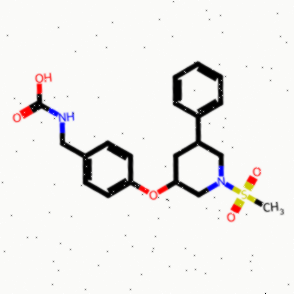 CS(=O)(=O)N1CC(Oc2ccc(CNC(=O)O)cc2)CC(c2ccccc2)C1